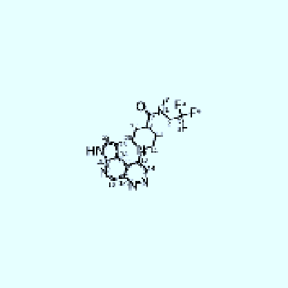 CN(CC(F)(F)F)C(=O)C1CCN(c2cnnc3cnc4[nH]ccc4c23)CC1